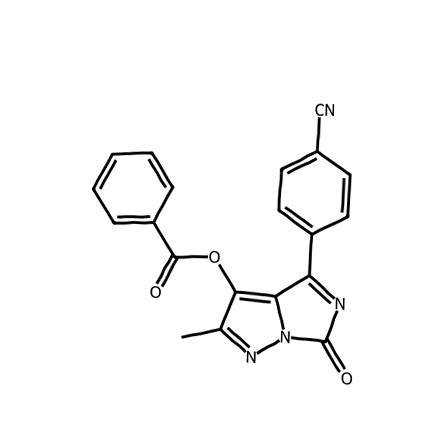 Cc1nn2c(c1OC(=O)c1ccccc1)C(c1ccc(C#N)cc1)=NC2=O